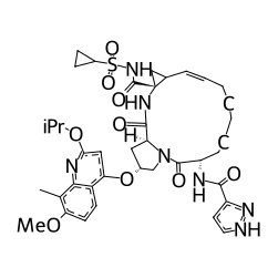 COc1ccc2c(O[C@@H]3C[C@H]4C(=O)N[C@]5(C(=O)NS(=O)(=O)C6CC6)CC5/C=C\CCCCC[C@H](NC(=O)c5cc[nH]n5)C(=O)N4C3)cc(OC(C)C)nc2c1C